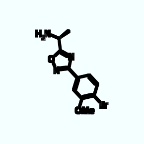 COc1cc(-c2noc([C@H](C)N)n2)ccc1Br